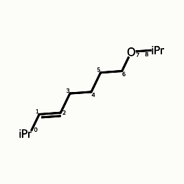 CC(C)/C=C/CCCCOC(C)C